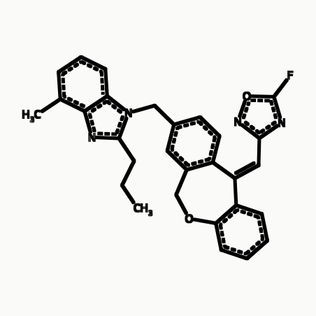 CCCc1nc2c(C)cccc2n1Cc1ccc2c(c1)COc1ccccc1/C2=C/c1noc(F)n1